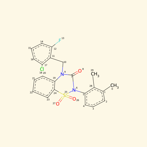 Cc1cccc(N2C(=O)N(Cc3c(F)cccc3Cl)c3ccccc3S2(=O)=O)c1C